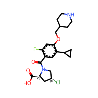 O=C(O)[C@@H]1C[C@@H](Cl)CN1C(=O)c1cc(C2CC2)c(OCC2CCNCC2)cc1F